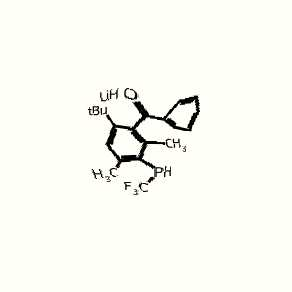 Cc1cc(C(C)(C)C)c(C(=O)c2ccccc2)c(C)c1PC(F)(F)F.[LiH]